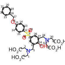 O=C(O)CN(CC(=O)O)Cc1cc(S(=O)(=O)c2ccc(OCc3ccccc3)cc2)cc(CN(CC(=O)O)CC(=O)O)c1O